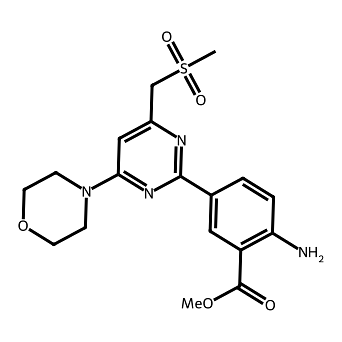 COC(=O)c1cc(-c2nc(CS(C)(=O)=O)cc(N3CCOCC3)n2)ccc1N